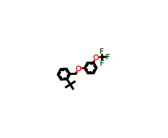 CC(C)(C)c1ccccc1COc1cccc(OC(F)(F)F)c1